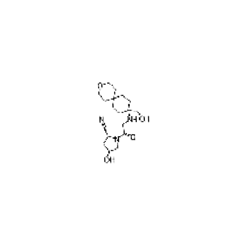 N#C[C@@H]1C[C@H](O)CN1C(=O)CNC1(CO)CCC2(CCOCC2)CC1